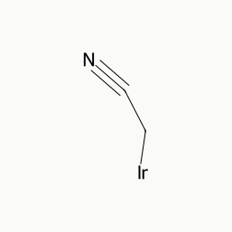 N#C[CH2][Ir]